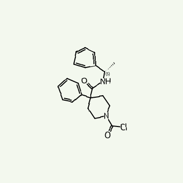 C[C@H](NC(=O)C1(c2ccccc2)CCN(C(=O)Cl)CC1)c1ccccc1